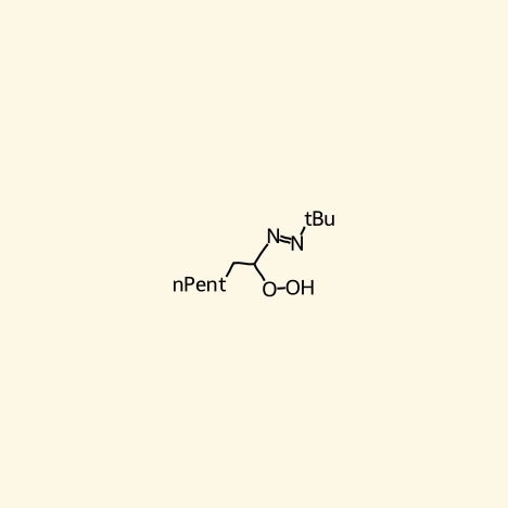 CCCCCCC(N=NC(C)(C)C)OO